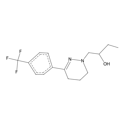 CCC(O)CN1CCCC(c2ccc(C(F)(F)F)cc2)=N1